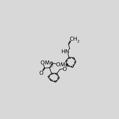 C=CCNc1cccc(OCc2ccccc2/C(=C\OC)C(=O)OC)c1